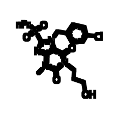 CCCS(=O)(=O)c1nc2c(c(=O)n(CCCO)c(=O)n2C)n1Cc1ccc(Cl)cc1